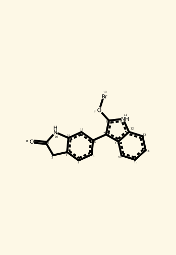 O=C1Cc2ccc(-c3c(OBr)[nH]c4ccccc34)cc2N1